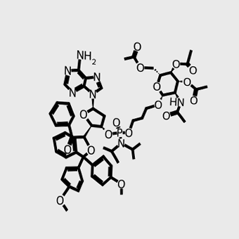 COc1ccc(C(OC(C(=O)c2ccccc2)[C@H]2O[C@@H](n3cnc4c(N)ncnc43)C[C@@H]2OP(=O)(OCCCO[C@@H]2O[C@H](COC(C)=O)[C@@H](OC(C)=O)[C@H](OC(C)=O)[C@H]2NC(C)=O)N(C(C)C)C(C)C)(c2ccccc2)c2ccc(OC)cc2)cc1